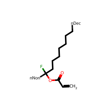 C=CC(=O)OC(F)(CCCCCCCCC)CCCCCCCCCCCCCCCCC